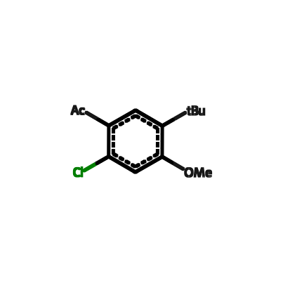 COc1cc(Cl)c(C(C)=O)cc1C(C)(C)C